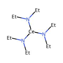 CC[N](CC)[Ce]([N](CC)CC)[N](CC)CC